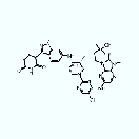 C[C@@H]1CN(c2ncc(Cl)c(Nc3cnc4c(n3)n(CCC(C)(C)O)c(=O)n4C)n2)CC[C@@H]1Nc1ccc2c(C3CCC(=O)NC3=O)nn(C)c2c1